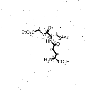 CCOC(=O)CNC(=O)[C@H](CSC(C)=O)NC(=O)CC[C@H](N)C(=O)O